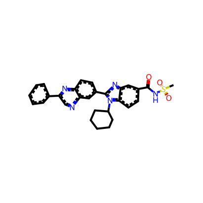 CS(=O)(=O)NC(=O)c1ccc2c(c1)nc(-c1ccc3nc(-c4ccccc4)cnc3c1)n2C1CCCCC1